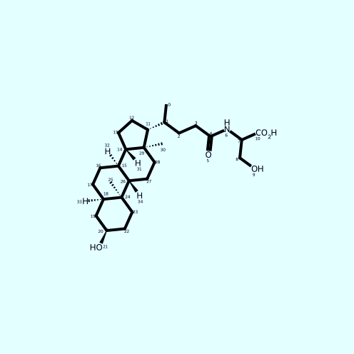 CC(CCC(=O)NC(CO)C(=O)O)[C@H]1CC[C@H]2[C@@H]3CC[C@@H]4C[C@H](O)CC[C@]4(C)[C@H]3CC[C@]12C